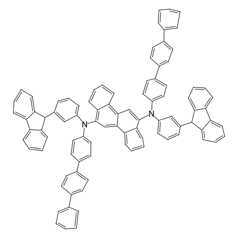 c1ccc(-c2ccc(-c3ccc(N(c4cccc(C5c6ccccc6-c6ccccc65)c4)c4cc5c6ccccc6c(N(c6ccc(-c7ccc(-c8ccccc8)cc7)cc6)c6cccc(C7c8ccccc8-c8ccccc87)c6)cc5c5ccccc45)cc3)cc2)cc1